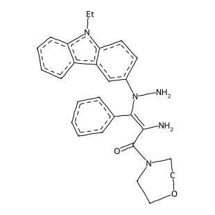 CCn1c2ccccc2c2cc(N(N)/C(=C(\N)C(=O)N3CCOCC3)c3ccccc3)ccc21